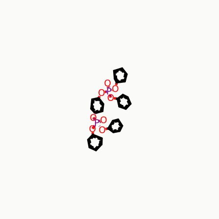 O=P(Oc1ccccc1)(Oc1ccccc1)Oc1ccc(OP(=O)(Oc2ccccc2)Oc2ccccc2)cc1